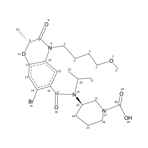 COCCCCN1C(=O)[C@@H](C)Oc2cc(Br)c(C(=O)N(C(C)C)[C@@H]3CCCN(C(=O)O)C3)cc21